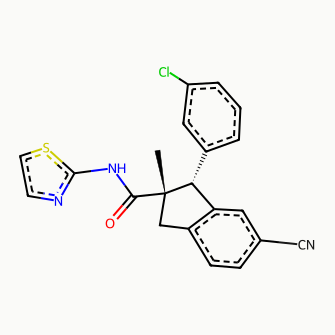 C[C@]1(C(=O)Nc2nccs2)Cc2ccc(C#N)cc2[C@H]1c1cccc(Cl)c1